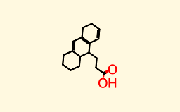 O=C(O)CCC1C2=C(C=C3CCCCC31)CCC=C2